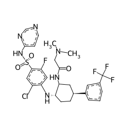 CN(C)CC(=O)NC1C[C@@H](c2cccc(C(F)(F)F)c2)CC[C@@H]1Nc1cc(F)c(S(=O)(=O)Nc2ccncn2)cc1Cl